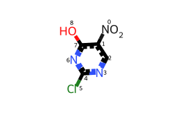 O=[N+]([O-])c1cnc(Cl)nc1O